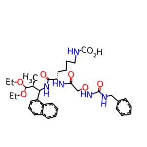 CCOC(OCC)[C@@H](C)C(NC(=O)[C@H](CCCCNC(=O)O)NC(=O)CONC(=O)NCc1ccccc1)c1cccc2ccccc12